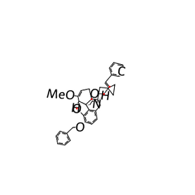 COC1=CC[C@@]2(OC/C=C/c3ccccc3)[C@H]3Cc4ccc(OCc5ccccc5)c5c4[C@@]2(CCN3CC2CC2)[C@H]1O5